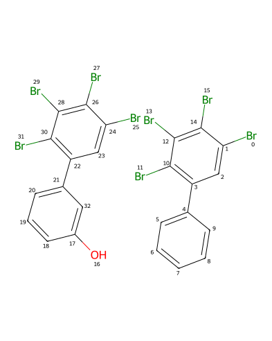 Brc1cc(-c2ccccc2)c(Br)c(Br)c1Br.Oc1cccc(-c2cc(Br)c(Br)c(Br)c2Br)c1